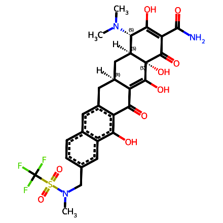 CN(C)[C@@H]1C(O)=C(C(N)=O)C(=O)[C@@]2(O)C(O)=C3C(=O)c4c(cc5ccc(CN(C)S(=O)(=O)C(F)(F)F)cc5c4O)C[C@H]3C[C@@H]12